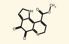 COC(=O)C1=CCN=C2C(=O)C(=O)C3=CCNC3=C12